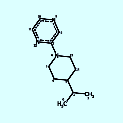 CC(C)C1CCN(c2cnccn2)CC1